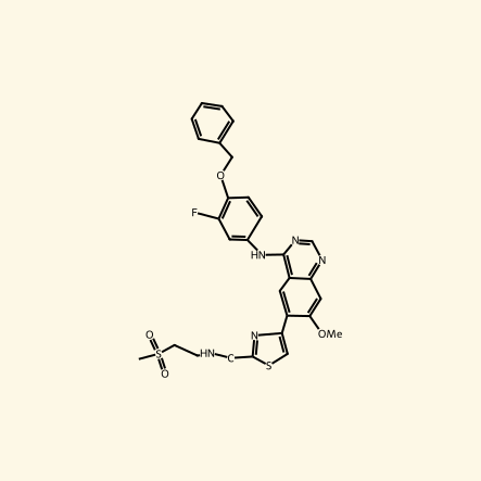 COc1cc2ncnc(Nc3ccc(OCc4ccccc4)c(F)c3)c2cc1-c1csc(CNCCS(C)(=O)=O)n1